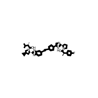 CC(C)[C@H](C)C(=O)N1CC2(CC2)C[C@H]1c1nc2ccc(C#Cc3ccc(-c4cnc([C@@H]5CCCN5C(=O)[C@H](C)c5ccc(F)cc5)[nH]4)cc3)cc2[nH]1